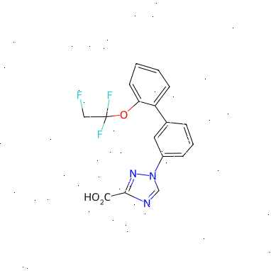 O=C(O)c1ncn(-c2cccc(-c3ccccc3OC(F)(F)CF)c2)n1